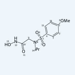 COc1ccc(S(=O)(=O)N(CC(=O)NO)C(C)C)cc1